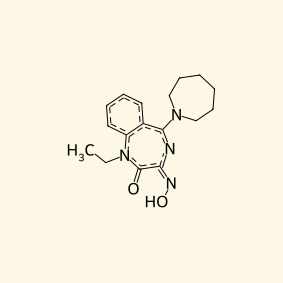 CCn1c(=O)c(=NO)nc(N2CCCCCC2)c2ccccc21